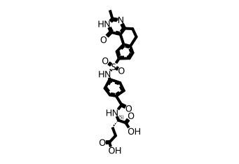 Cc1nc2c(c(=O)[nH]1)-c1cc(S(=O)(=O)Nc3ccc(C(=O)N[C@@H](CCC(=O)O)C(=O)O)cc3)ccc1CC2